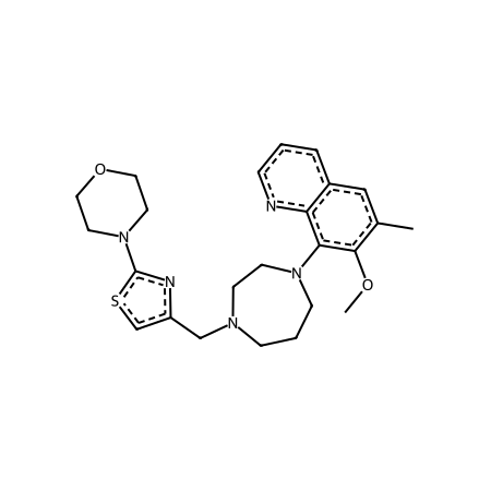 COc1c(C)cc2cccnc2c1N1CCCN(Cc2csc(N3CCOCC3)n2)CC1